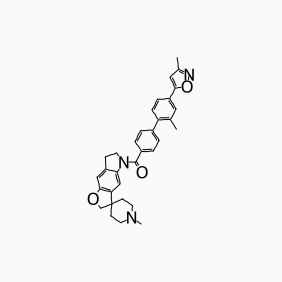 Cc1cc(-c2ccc(-c3ccc(C(=O)N4CCc5cc6c(cc54)C4(CCN(C)CC4)CO6)cc3)c(C)c2)on1